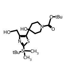 CC(C)(C)OC(=O)N1CCC(O)(c2sc([Si](C)(C)C(C)(C)C)nc2CO)CC1